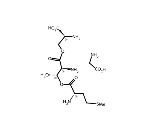 CSCC[C@H](N)C(=O)O[C@H](C)[C@H](N)C(=O)OC[C@H](N)C(=O)O.NCC(=O)O